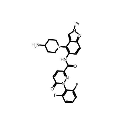 CC(C)n1cc2c(N3CCC(N)CC3)c(NC(=O)c3ccc(=O)n(-c4c(F)cccc4F)n3)ccc2n1